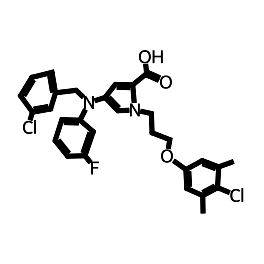 Cc1cc(OCCCn2cc(N(Cc3cccc(Cl)c3)c3cccc(F)c3)cc2C(=O)O)cc(C)c1Cl